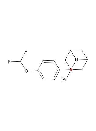 CC(C)N1CC2CC(C1)N2Cc1ccc(OC(F)F)cc1